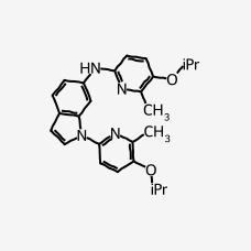 Cc1nc(Nc2ccc3ccn(-c4ccc(OC(C)C)c(C)n4)c3c2)ccc1OC(C)C